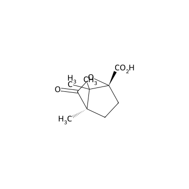 CC1(C)[C@@]2(C)CC[C@@]1(C(=O)O)OC2=O